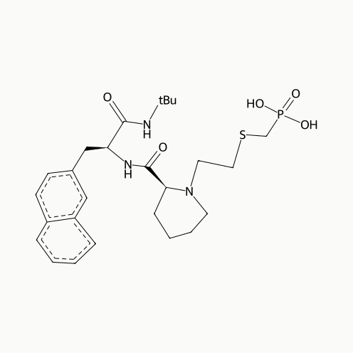 CC(C)(C)NC(=O)[C@H](Cc1ccc2ccccc2c1)NC(=O)[C@@H]1CCCCN1CCSCP(=O)(O)O